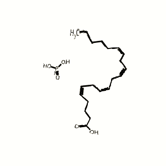 CCCCC/C=C\C/C=C\C/C=C\C/C=C\CCCC(=O)O.O=[PH](O)O